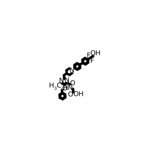 Cc1nc(CC2CCN(c3ccc(-c4ccc(C(F)(F)CO)cc4)cc3)CC2)nc(C(=O)NCC(=O)O)c1OCc1ccccc1